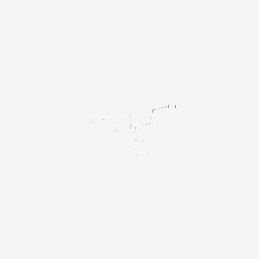 C[N+](C)(CCCl)CCCl.[Cl-]